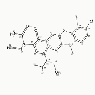 COc1cc2c(cc1Cc1cccc(Cl)c1F)c(=O)c(N(N=N)C(N)=O)cn2[C@H](CO)C(C)C